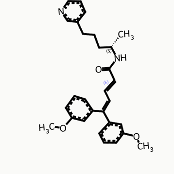 COc1cccc(C(=C/C=C/C(=O)N[C@@H](C)CCCc2cccnc2)c2cccc(OC)c2)c1